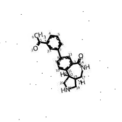 CC(=O)c1cccc(-c2ccc3c(c2)C(=O)NC[C@H]2CNC[C@H]32)c1